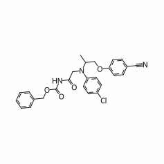 CC(COc1ccc(C#N)cc1)N(CC(=O)NC(=O)OCc1ccccc1)c1ccc(Cl)cc1